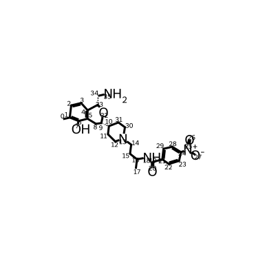 Cc1ccc2c(c1O)C[C@@H](C1CCN(CCC(C)NC(=O)c3ccc([N+](=O)[O-])cc3)CC1)O[C@H]2CN